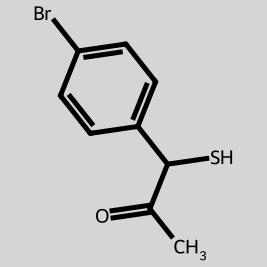 CC(=O)C(S)c1ccc(Br)cc1